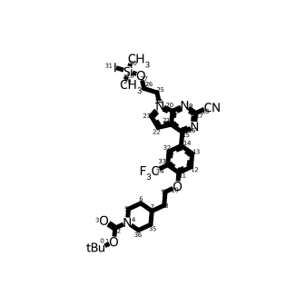 CC(C)(C)OC(=O)N1CCC(CCOc2ccc(-c3nc(C#N)nc4c3ccn4CCO[Si](C)(C)I)cc2C(F)(F)F)CC1